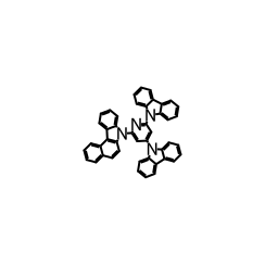 c1ccc2c(c1)ccc1c2c2ccccc2n1-c1cc(-n2c3ccccc3c3ccccc32)cc(-n2c3ccccc3c3ccccc32)n1